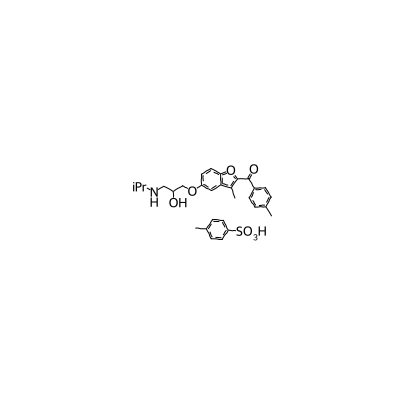 Cc1ccc(C(=O)c2oc3ccc(OCC(O)CNC(C)C)cc3c2C)cc1.Cc1ccc(S(=O)(=O)O)cc1